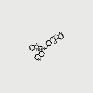 O=C1c2cccnc2CN1Cc1ccc(CN(Cc2nc3ccccc3[nH]2)C2C=C3C=CC=NC3CC2)cc1